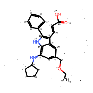 CCOCc1cc(NC2CCCC2)c2[nH]c(-c3ccccc3)c(/C=C/C(=O)O)c2c1